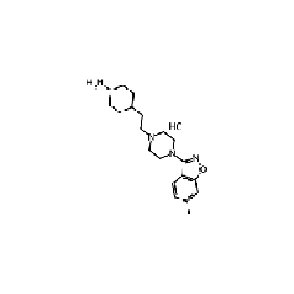 Cc1ccc2c(N3CCN(CCC4CCC(N)CC4)CC3)noc2c1.Cl